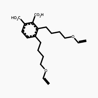 C=COCCCCc1ccc(C(=O)O)c(C(=O)O)c1CCCCOC=C